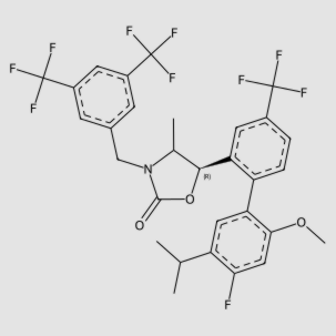 COc1cc(F)c(C(C)C)cc1-c1ccc(C(F)(F)F)cc1[C@H]1OC(=O)N(Cc2cc(C(F)(F)F)cc(C(F)(F)F)c2)C1C